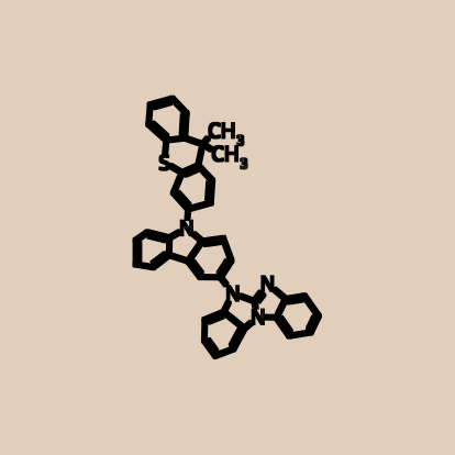 CC1(C)c2ccccc2Sc2cc(-n3c4ccccc4c4cc(-n5c6ccccc6n6c7ccccc7nc56)ccc43)ccc21